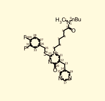 CCCCN(C)C(=O)CCCCCn1cc(Cc2cncnc2)c(=O)nc1SCc1ccc(F)c(F)c1